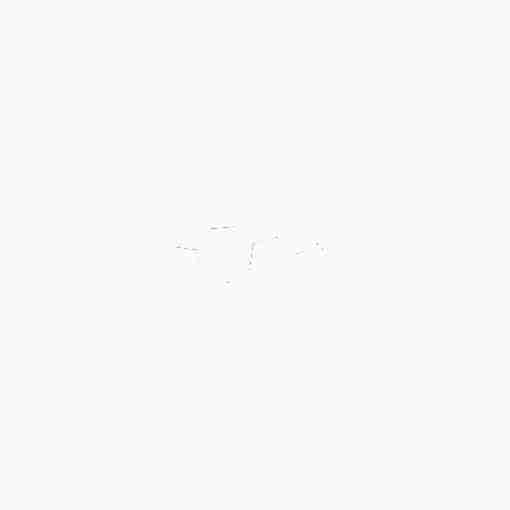 CC1CCCC(CCN)CC1